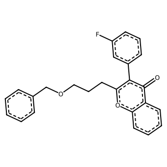 O=c1c(-c2cccc(F)c2)c(CCCOCc2ccccc2)oc2ccccc12